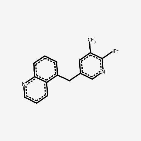 CC(C)c1ncc(Cc2cccc3ncccc23)cc1C(F)(F)F